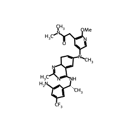 COc1ncc(N(C)C2=CCC3N=C(C)N=C(N[C@H](C)c4cc(N)cc(C(F)(F)F)c4)C3=C2)cc1CC(=O)N(C)C